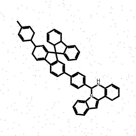 CC1=CCC(C2C=C3C(=CC2)c2ccc(-c4ccc(C5NC6=C(CCC=C6)c6cc7ccccc7n65)cc4)cc2C32c3ccccc3C3C=CC=CC32)C=C1